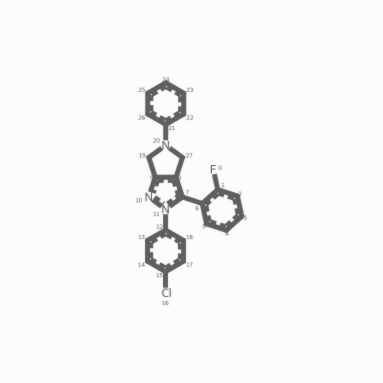 Fc1ccccc1-c1c2c(nn1-c1ccc(Cl)cc1)CN(c1ccccc1)C2